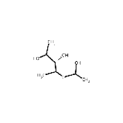 CC(O)OC(C)[C@@H](O)C(C)O